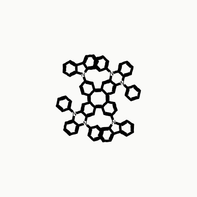 c1ccc(-n2c3ccccc3n(-c3ccccc3)c3cc4c5cc(-n6c7ccccc7c7ccccc76)ccc5c5cc6c(cc5c5cc(-n7c8ccccc8c8ccccc87)ccc5c4cc32)n(-c2ccccc2)c2ccccc2n6-c2ccccc2)cc1